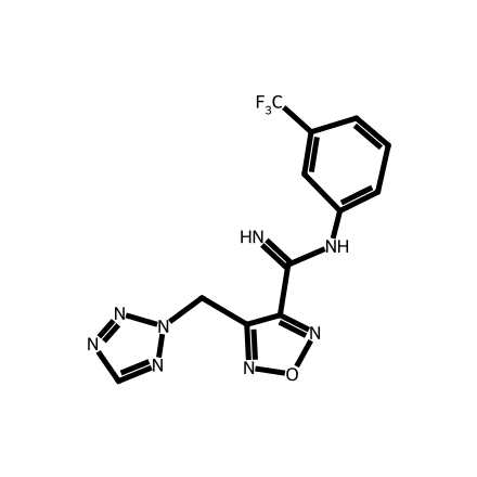 N=C(Nc1cccc(C(F)(F)F)c1)c1nonc1Cn1ncnn1